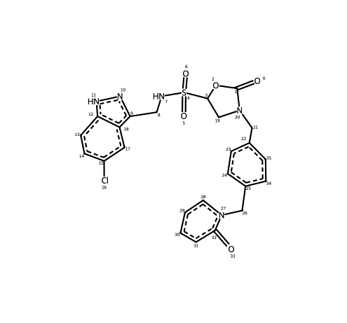 O=C1OC(S(=O)(=O)NCc2n[nH]c3ccc(Cl)cc23)CN1Cc1ccc(Cn2ccccc2=O)cc1